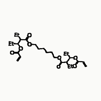 C=CC(=O)OC(CC)C(CC)C(=O)OCCCCCCOC(=O)C(CC)C(CC)OC(=O)C=C